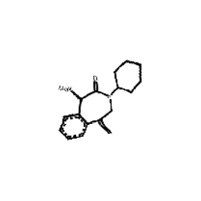 C=C1CN(C2CCCCC2)C(=O)C(NC)c2ccccc21